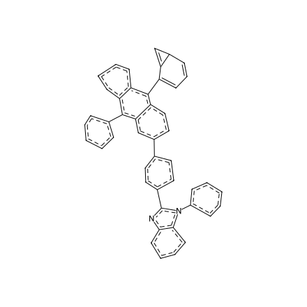 C1=CC2C=C2C(c2c3ccccc3c(-c3ccccc3)c3cc(-c4ccc(-c5nc6ccccc6n5-c5ccccc5)cc4)ccc23)=C1